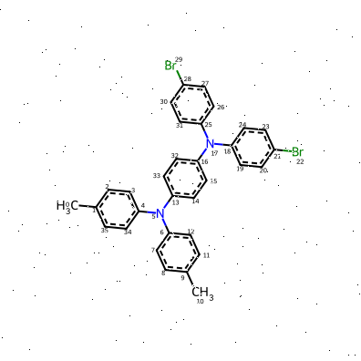 Cc1ccc(N(c2ccc(C)cc2)c2ccc(N(c3ccc(Br)cc3)c3ccc(Br)cc3)cc2)cc1